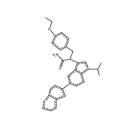 CCOc1ccc(CC(C(N)=O)c2cn(C(C)C)c3ccc(-c4ccc5ncccc5c4)cc23)cc1